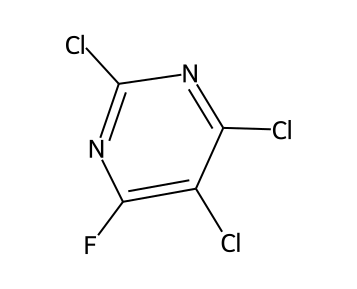 Fc1nc(Cl)nc(Cl)c1Cl